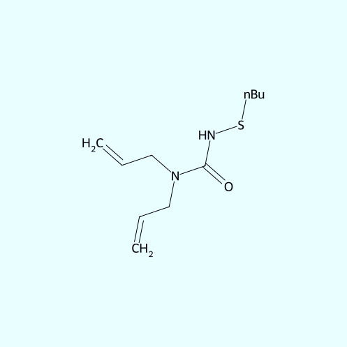 C=CCN(CC=C)C(=O)NSCCCC